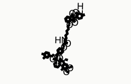 C=C1CCC(N2C(=O)c3cccc(OCCCCCCNC(=O)COc4ccc([C@@H](CCc5ccc(C)c(C)c5)OC(=O)[C@@H]5CCCCN5C(=O)[C@@H](CC)c5cc(C)c(OC)c(OC)c5)cc4)c3C2=O)C(=O)N1